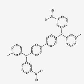 CCN(CC)c1cccc(N(c2ccc(-c3ccc(N(c4cccc(C)c4)c4cccc(N(CC)CC)c4)cc3)cc2)c2cccc(C)c2)c1